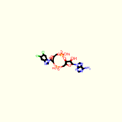 Nc1ncnc2c1ncn2C1OC2COP(=O)(O)OC3C(O)C(COP(=O)(O)OC2C1O)OC3n1cnc2cc(Cl)c(Cl)cc21